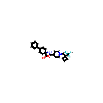 O=C(O)C1(NCC2CCN(CC3(C(F)(F)F)CCC3)CC2)C=CC(c2ccccc2)=CC1